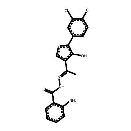 C/C(=N\NC(=O)c1ccccc1N)c1csc(-c2ccc(Cl)c(Cl)c2)c1O